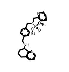 CCOP(=O)(OCC)N(Cc1ccc(CNC2CCCc3cccnc32)cc1)Cc1ccccn1